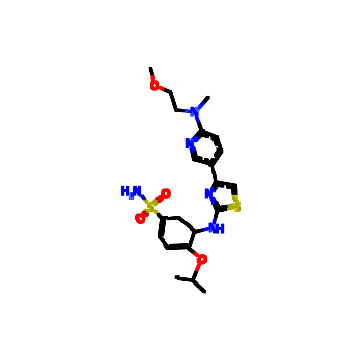 COCCN(C)c1ccc(-c2csc(NC3CC(S(N)(=O)=O)=CC=C3OC(C)C)n2)cn1